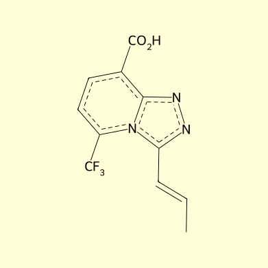 CC=Cc1nnc2c(C(=O)O)ccc(C(F)(F)F)n12